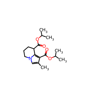 Cc1cn2c(c1C(=O)OC(C)C)C(C(=O)OC(C)C)CCC2